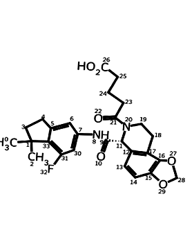 CC1(C)CCc2cc(NC(=O)[C@H]3c4ccc5c(c4CCN3C(=O)CCCC(=O)O)OCO5)cc(F)c21